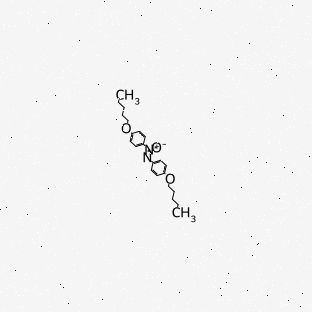 CCCCCOc1ccc(N=[N+]([O-])c2ccc(OCCCCC)cc2)cc1